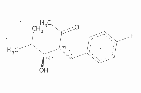 CC(=O)[C@H](Cc1ccc(F)cc1)[C@@H](O)C(C)C